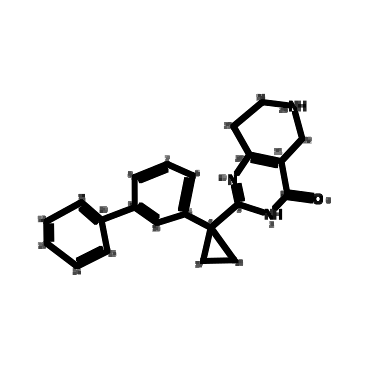 O=c1[nH]c(C2(c3cccc(-c4ccccc4)c3)CC2)nc2c1CNCC2